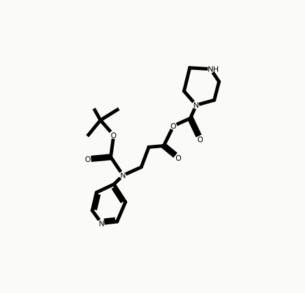 CC(C)(C)OC(=O)N(CCC(=O)OC(=O)N1CCNCC1)c1ccncc1